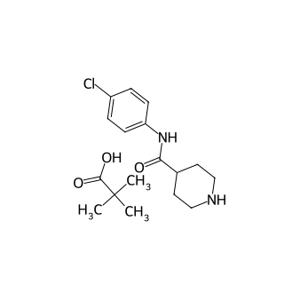 CC(C)(C)C(=O)O.O=C(Nc1ccc(Cl)cc1)C1CCNCC1